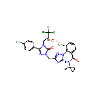 CC1(NC(=O)c2cccc(Cl)c2-n2cnc(Cn3nc(-c4ccc(Cl)cc4)n(C[C@@H](O)C(F)(F)F)c3=O)n2)CC1